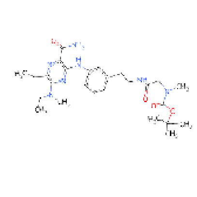 CCc1nc(C(N)=O)c(Nc2cccc(CCNC(=O)CN(C)C(=O)OC(C)(C)C)c2)nc1N(C)CC